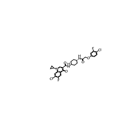 O=C(COc1ccc(Cl)c(F)c1)N[C@H]1CC[C@H](NC(=O)c2cn(C3CC3)c3cc(Cl)c(F)cc3c2=O)CC1